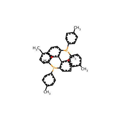 Cc1ccc(P(c2ccc(C)cc2)c2cccc(C)c2-c2c(C)cccc2P(c2ccc(C)cc2)c2ccc(C)cc2)cc1